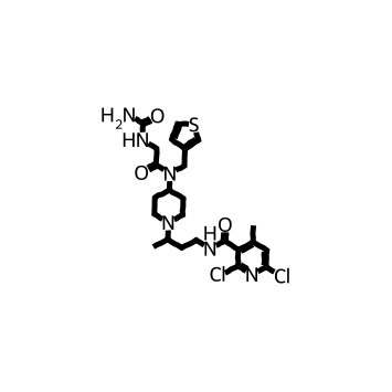 Cc1cc(Cl)nc(Cl)c1C(=O)NCCC(C)N1CCC(N(Cc2ccsc2)C(=O)CNC(N)=O)CC1